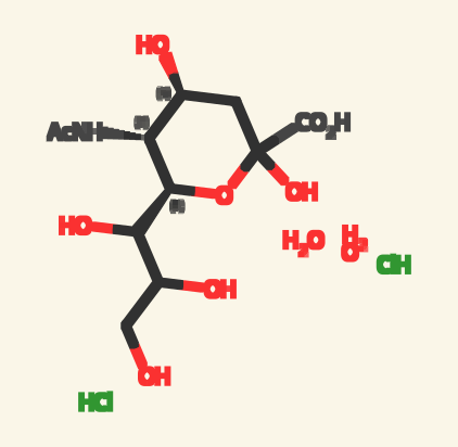 CC(=O)N[C@@H]1[C@@H](O)CC(O)(C(=O)O)O[C@H]1C(O)C(O)CO.Cl.Cl.O.O